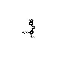 CCOc1cc(-c2nc(-c3ccc4[nH]ccc4c3)no2)ccc1OC